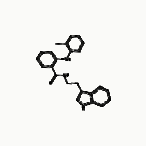 Cc1ccccc1Nc1ccccc1C(=O)NCCc1c[nH]c2ccccc12